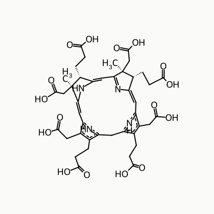 C[C@@]1(CC(=O)O)C2=NC(=C\c3[nH]c(c(CCC(=O)O)c3CC(=O)O)Cc3[nH]c(c(CC(=O)O)c3CCC(=O)O)/C=C3\N/C(=C\2)[C@@H](CCC(=O)O)[C@]3(C)CC(=O)O)/[C@H]1CCC(=O)O